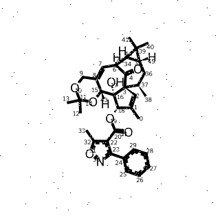 CC1=C[C@]23C(=O)[C@@H](C=C4COC(C)(C)O[C@H]4[C@]2(O)[C@H]1OC(=O)c1c(-c2ccccc2)noc1C)[C@H]1[C@@H](C[C@H]3C)C1(C)C